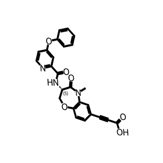 CN1C(=O)[C@@H](NC(=O)c2cc(Oc3ccccc3)ccn2)COc2ccc(C#CC(=O)O)cc21